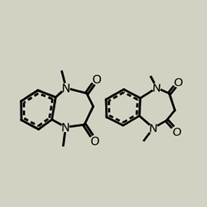 CN1C(=O)CC(=O)N(C)c2ccccc21.CN1C(=O)CC(=O)N(C)c2ccccc21